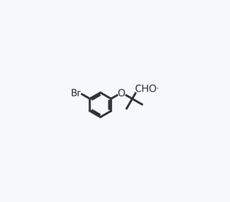 CC(C)([C]=O)Oc1cccc(Br)c1